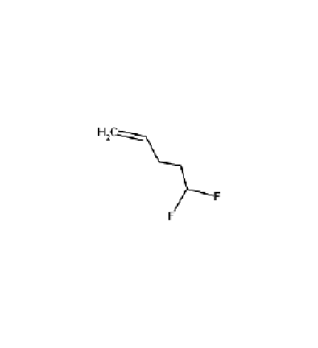 C=CCCC(F)F